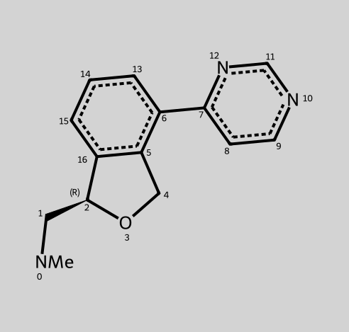 CNC[C@@H]1OCc2c(-c3ccncn3)cccc21